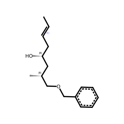 C/C=C/C[C@@H](O)C[C@@H](C)COCc1ccccc1